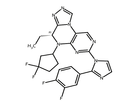 CC[C@@H]1c2nncn2-c2cnc(-n3ccnc3-c3ccc(F)c(F)c3)nc2N1C1CCC(F)(F)C1